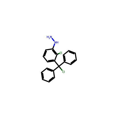 NNc1cccc(C(Cl)(c2ccccc2)c2ccccc2)c1Cl